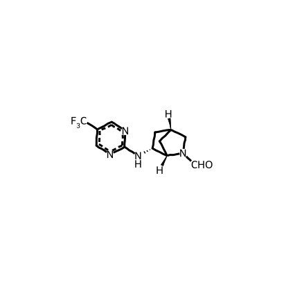 O=CN1C[C@H]2C[C@@H](Nc3ncc(C(F)(F)F)cn3)[C@@H]1C2